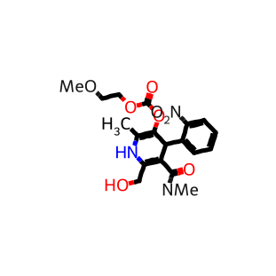 CNC(=O)C1=C(CO)NC(C)=C(OC(=O)OCCOC)C1c1ccccc1[N+](=O)[O-]